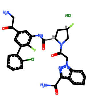 Cl.NCC(=O)c1cc(NC(=O)[C@@H]2C[C@@H](F)CN2C(=O)Cn2nc(C(N)=O)c3ccccc32)c(F)c(-c2ccccc2Cl)c1